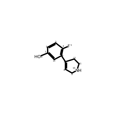 Oc1ccc(F)c(C2=CCNCC2)c1